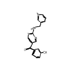 N#Cc1cccc(C(=O)c2cnc(NCc3cccnc3)nc2)c1